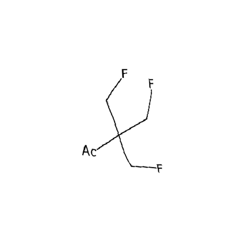 CC(=O)C(CF)(CF)CF